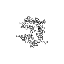 CC(C)[C@H](NC(=O)[C@@H](NC(=O)[C@H](CC(N)=O)NC(=O)[C@H](CO)NC(=O)[C@@H](NC(=O)[C@@H](NC(=O)[C@@H]1CCCN1C(=O)[C@@H](NC(=O)[C@H](CO)NC(=O)[C@@H](NC(=O)[C@@H](N)CO)[C@@H](C)O)[C@@H](C)O)C(C)C)[C@@H](C)O)[C@@H](C)O)C(=O)N[C@H](C(=O)NCC(=O)N[C@@H](CCC(=O)O)C(=O)N[C@H](C(=O)N[C@H](C(=O)N1CCC[C@H]1C(=O)N[C@@H](Cc1ccccc1)C(=O)N[C@@H](CO)C(=O)N1CCC[C@H]1C(=O)O)[C@@H](C)O)[C@@H](C)O)[C@@H](C)O